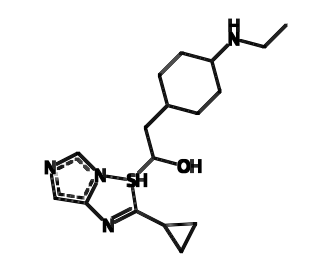 CCNC1CCC(CC(O)[SH]2C(C3CC3)=Nc3cncn32)CC1